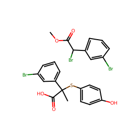 CC(Sc1ccc(O)cc1)(C(=O)O)c1cccc(Br)c1.COC(=O)C(Br)c1cccc(Br)c1